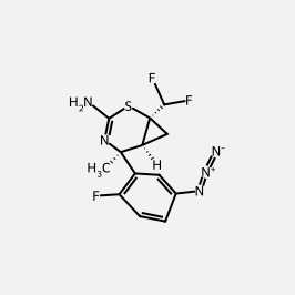 C[C@]1(c2cc(N=[N+]=[N-])ccc2F)N=C(N)S[C@@]2(C(F)F)C[C@@H]12